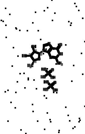 C[C@H]1O[C@@H](n2cnc3c(=O)[nH]c(N)nc32)[C@H](O)[C@@H]1O.O=P(O)(O)O.O=P(O)(O)O